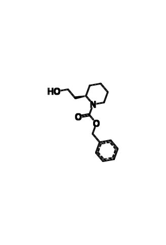 O=C(OCc1ccccc1)N1CCCC[C@@H]1CCO